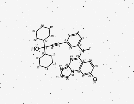 CN(c1cccc(C#CC(O)(C2CCCCC2)C2CCCCC2)c1)c1nc2nncn2c2cc(Cl)ccc12